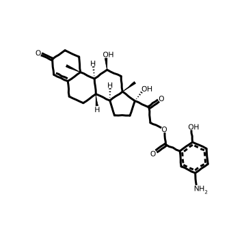 C[C@]12CCC(=O)C=C1CC[C@@H]1[C@@H]2[C@@H](O)C[C@@]2(C)[C@H]1CC[C@]2(O)C(=O)COC(=O)c1cc(N)ccc1O